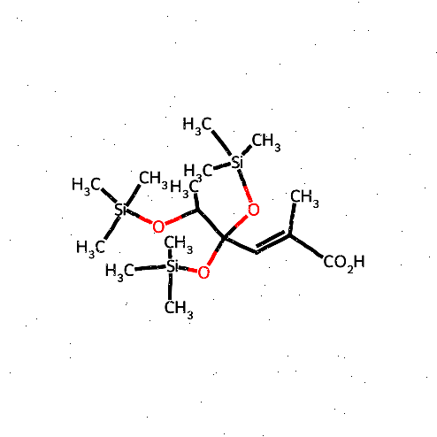 CC(=CC(O[Si](C)(C)C)(O[Si](C)(C)C)C(C)O[Si](C)(C)C)C(=O)O